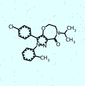 Cc1ccccc1-n1nc2c(c1-c1ccc(Cl)cc1)OCCN(C(C)C)C2=O